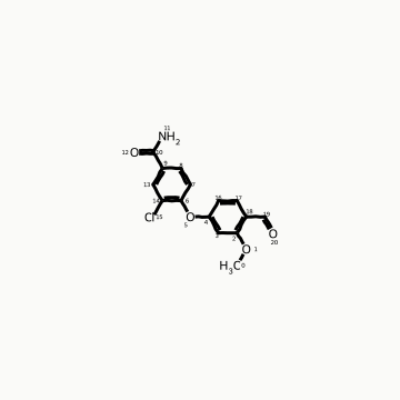 COc1cc(Oc2ccc(C(N)=O)cc2Cl)ccc1C=O